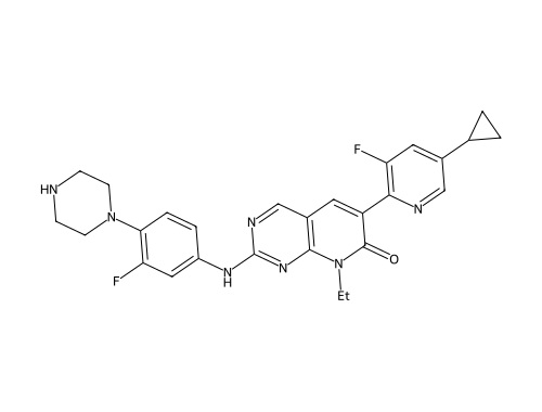 CCn1c(=O)c(-c2ncc(C3CC3)cc2F)cc2cnc(Nc3ccc(N4CCNCC4)c(F)c3)nc21